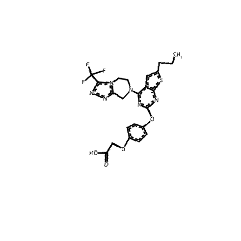 CCCc1cc2c(N3CCn4c(nnc4C(F)(F)F)C3)nc(Oc3ccc(OCC(=O)O)cc3)nc2s1